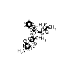 COC1C(O)[C@@H](COP(=O)(NC[C@@H](C)OC(=O)C(C)C)Oc2ccccc2)O[C@H]1n1ccc(N)nc1=O